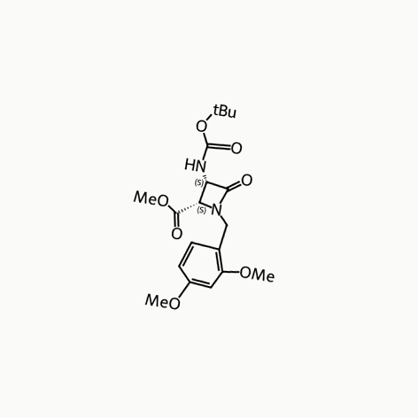 COC(=O)[C@@H]1[C@H](NC(=O)OC(C)(C)C)C(=O)N1Cc1ccc(OC)cc1OC